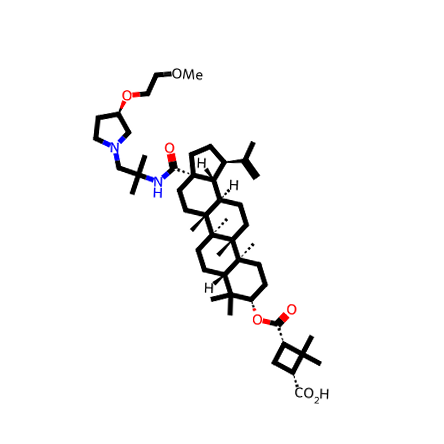 C=C(C)[C@@H]1CC[C@]2(C(=O)NC(C)(C)CN3CC[C@@H](OCCOC)C3)CC[C@]3(C)[C@H](CC[C@@]4(C)[C@@]3(C)CC[C@H]3C(C)(C)[C@@H](OC(=O)[C@H]5C[C@@H](C(=O)O)C5(C)C)CC[C@@]34C)[C@@H]12